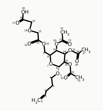 C=CCCCO[C@@H]1OC(COC(=O)COCC(=O)O)[C@@H](OC(C)=O)C(OC(C)=O)C1OC(C)=O